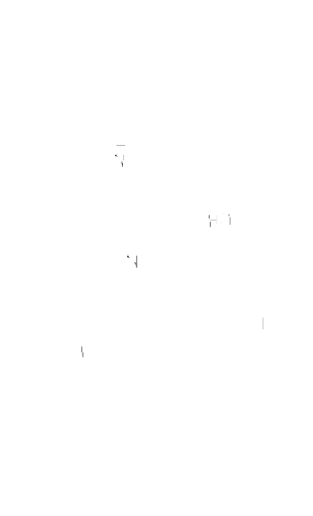 CC1CNCC2Cc3c(F)ccc(F)c3N12.Cl